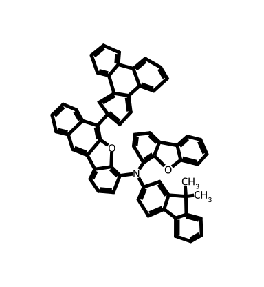 CC1(C)c2ccccc2-c2ccc(N(c3cccc4c3oc3ccccc34)c3cccc4c3oc3c(-c5ccc6c7ccccc7c7ccccc7c6c5)c5ccccc5cc34)cc21